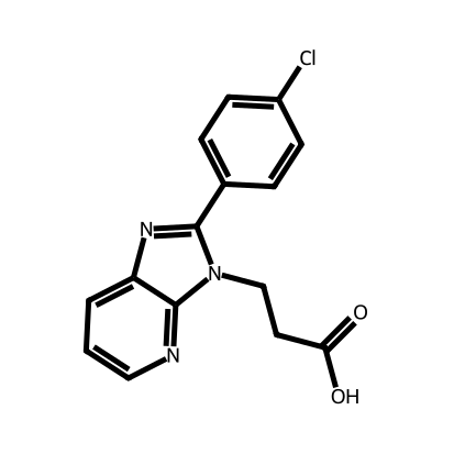 O=C(O)CCn1c(-c2ccc(Cl)cc2)nc2cccnc21